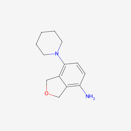 Nc1ccc(N2CCCCC2)c2c1COC2